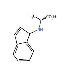 C[C@H](NC1C=Cc2ccccc21)C(=O)O